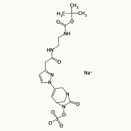 CC(C)(C)OC(=O)NCCNC(=O)Cc1ccn(C2=CC3CN(C2)C(=O)N3OS(=O)(=O)[O-])n1.[Na+]